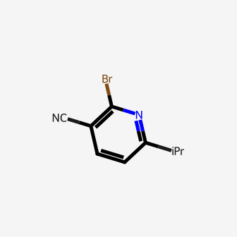 CC(C)c1ccc(C#N)c(Br)n1